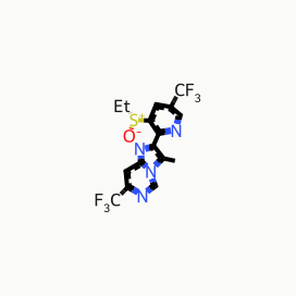 CC[S+]([O-])c1cc(C(F)(F)F)cnc1-c1nc2cc(C(F)(F)F)ncn2c1C